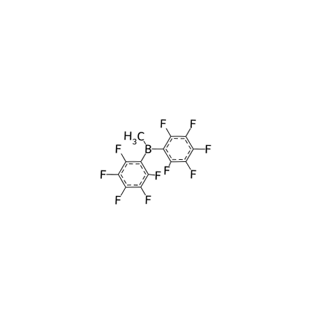 CB(c1c(F)c(F)c(F)c(F)c1F)c1c(F)c(F)c(F)c(F)c1F